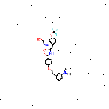 CN(C)c1cccc(CCOc2ccc(C(=O)N/C(=C/c3ccc(OC(F)(F)F)cc3)C(=O)NCCO)cc2)c1